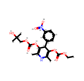 CCOC(=O)OC1=C(C)NC(C)=C(OC(=O)OCC(C)(C)O)C1c1cccc([N+](=O)[O-])c1